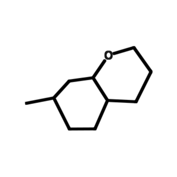 CC1CCC2CCCOC2C1